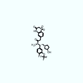 CN(C(=O)Cc1ccc2c(c1)NC(=O)CS2(=O)=O)[C@H](CN1CC[C@@H](O)C1)c1ccc(F)c(OC(F)(F)F)c1